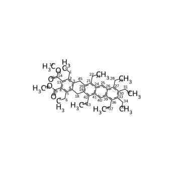 CCc1c2c(c(CC)c(C(=O)OC)c1C(=O)OC)Cc1c(c(CC)c3cc4c(CC)c(CC)c(CC)c(CC)c4cc3c1CC)C2